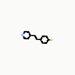 Fc1ccc(C=Cc2ccncc2)cc1